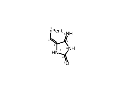 CCCCCC=C1NC(=O)NC1=N